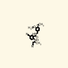 COc1ccc(CNC(=O)c2cc(C#N)ccc2N[C@@H](C)CC#N)cc1OC